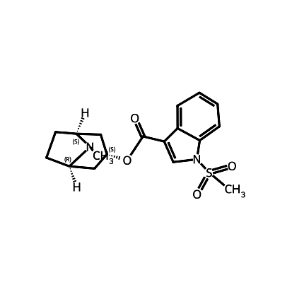 CN1[C@@H]2CC[C@H]1C[C@H](OC(=O)c1cn(S(C)(=O)=O)c3ccccc13)C2